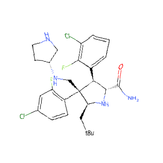 CC(C)(C)C[C@@H]1N[C@@H](C(N)=O)[C@H](c2cccc(Cl)c2F)[C@@]1(CN[C@@H]1CCNC1)c1ccc(Cl)cc1F